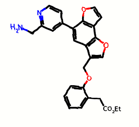 CCOC(=O)Cc1ccccc1OCc1coc2c1cc(-c1ccnc(CN)c1)c1occc12